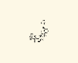 O=C(Nc1nc2c(C(=O)Nc3ncc[nH]3)cccc2[nH]1)c1cncc(OCc2ccccc2)c1